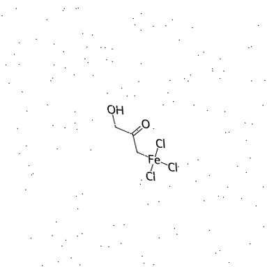 O=C(CO)[CH2][Fe]([Cl])([Cl])[Cl]